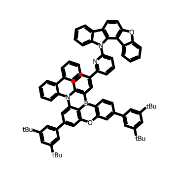 CC(C)(C)c1cc(-c2ccc3c(c2)Oc2cc(-c4cc(C(C)(C)C)cc(C(C)(C)C)c4)cc4c2B3c2cc(-c3cccc(-n5c6ccccc6c6ccc7oc8ccccc8c7c65)n3)ccc2N4c2ccccc2-c2ccccc2)cc(C(C)(C)C)c1